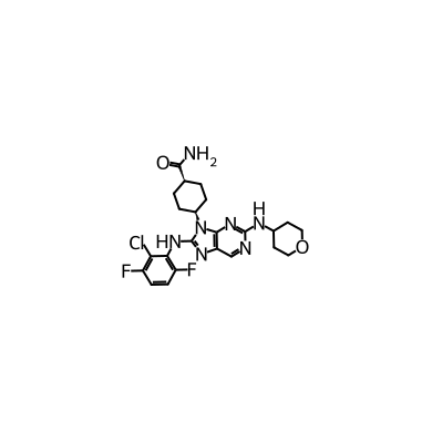 NC(=O)[C@H]1CC[C@@H](n2c(Nc3c(F)ccc(F)c3Cl)nc3cnc(NC4CCOCC4)nc32)CC1